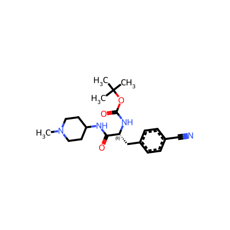 CN1CCC(NC(=O)[C@@H](Cc2ccc(C#N)cc2)NC(=O)OC(C)(C)C)CC1